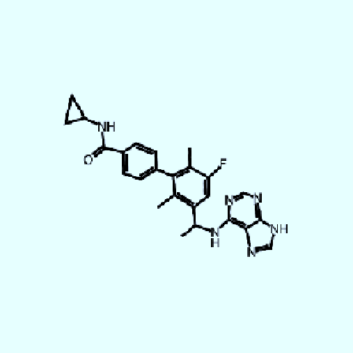 Cc1c(F)cc(C(C)Nc2ncnc3[nH]cnc23)c(C)c1-c1ccc(C(=O)NC2CC2)cc1